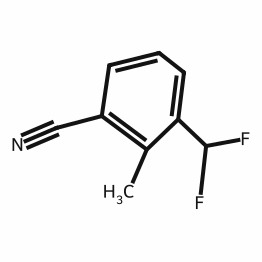 Cc1c(C#N)cccc1C(F)F